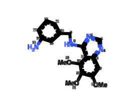 COc1cc2ncnc(NCc3cccc(N)c3)c2c(OC)c1OC